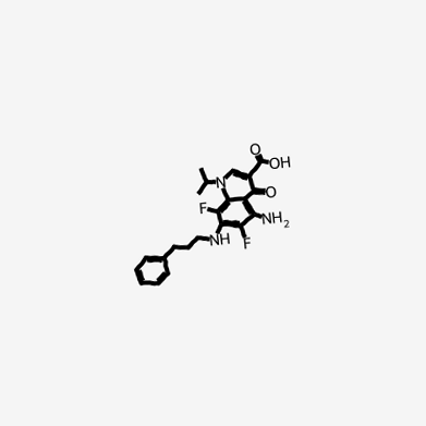 CC(C)n1cc(C(=O)O)c(=O)c2c(N)c(F)c(NCCCc3ccccc3)c(F)c21